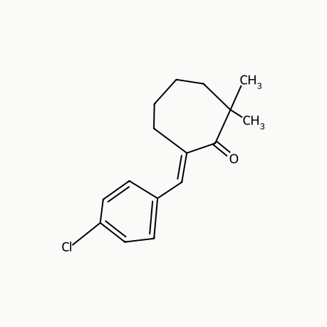 CC1(C)CCCCC(=Cc2ccc(Cl)cc2)C1=O